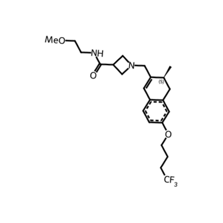 COCCNC(=O)C1CN(CC2=Cc3ccc(OCCCC(F)(F)F)cc3C[C@@H]2C)C1